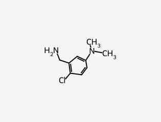 CN(C)c1ccc(Cl)c(CN)c1